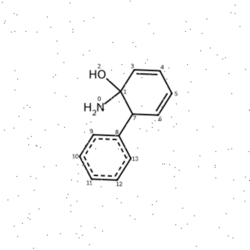 NC1(O)C=CC=CC1c1ccccc1